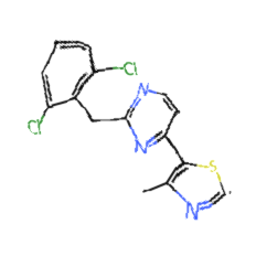 Cc1n[c]sc1-c1ccnc(Cc2c(Cl)cccc2Cl)n1